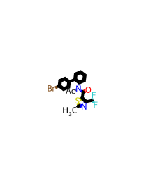 CC(=O)N(C(=O)c1sc(C)nc1C(F)F)c1ccccc1-c1ccc(Br)cc1